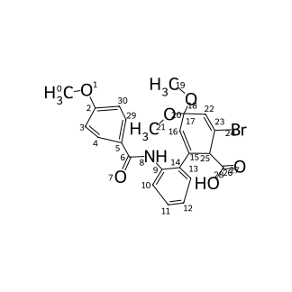 COc1ccc(C(=O)Nc2ccccc2C2=CC(OC)(OC)C=C(Br)C2C(=O)O)cc1